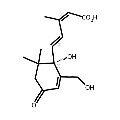 CC(=C/C(=O)O)/C=C/[C@@]1(O)C(CO)=CC(=O)CC1(C)C